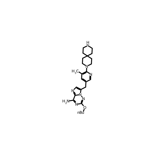 CCCCOc1nc(N)c2ncc(Cc3cnc(N4CCC5(CCNCC5)CC4)c(C)c3)n2n1